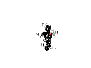 Cc1ccc(C(c2ccn3c(C(F)(F)F)nnc3c2C)C(C)(C)C(=O)O)cc1CN1CC2(CCOCC2)Oc2nc(OC(C)CN3CCCCC3)c(C)cc2[S+]1[O-]